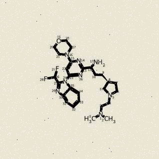 CN(C)CCN1CC[C@H](CCC(N)c2nc(N3CCOCC3)cc(-n3c(C(F)F)nc4ccccc43)n2)C1